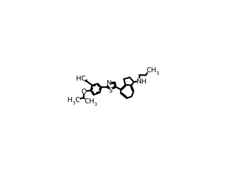 C#Cc1cc(-c2ncc(C3=C4CCC(NCCC)C4=CCC=C3)s2)ccc1OC(C)C